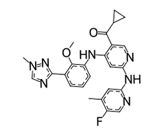 COc1c(Nc2cc(Nc3cc(C)c(F)cn3)ncc2C(=O)C2CC2)cccc1-c1ncn(C)n1